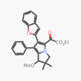 CCOC(=O)C(=O)c1c(-c2cc3ccccc3o2)c(-c2ccccc2)c2n1CC(C)(C)C2OC